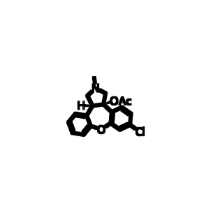 CC(=O)O[C@@]12CN(C)C[C@@H]1c1ccccc1Oc1cc(Cl)ccc12